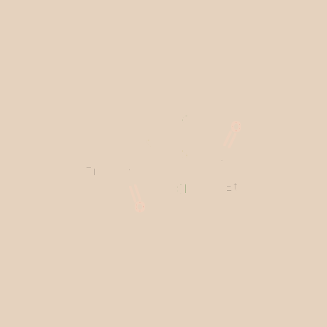 CCC(=O)SS(Cl)(Cl)C(=O)CC